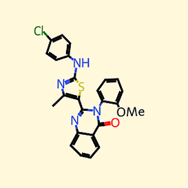 COc1ccccc1-n1c(-c2sc(Nc3ccc(Cl)cc3)nc2C)nc2ccccc2c1=O